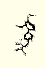 CCc1cc(OC)ccc1-c1ccc(CC(NC)C(C)=O)cc1